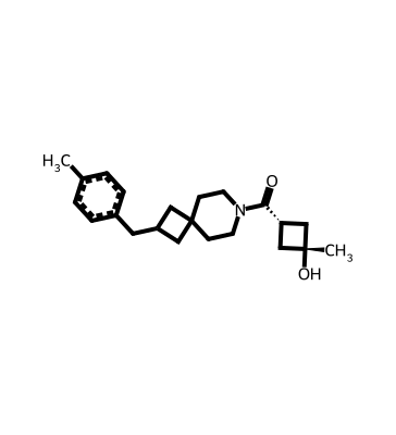 Cc1ccc(CC2CC3(CCN(C(=O)[C@H]4C[C@@](C)(O)C4)CC3)C2)cc1